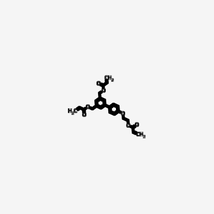 C=CC(=O)OCCOc1ccc(-c2cc(COC(=O)C=C)cc(COC(=O)C=C)c2)cc1